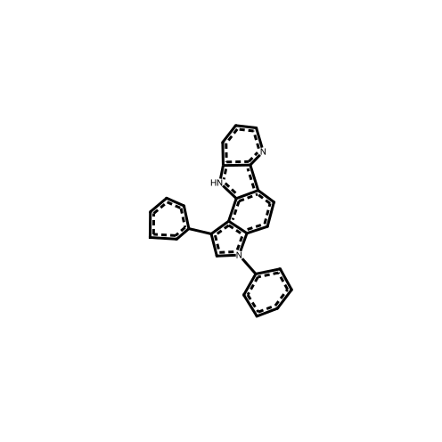 c1ccc(-c2cn(-c3ccccc3)c3ccc4c5ncccc5[nH]c4c23)cc1